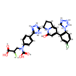 O=C(O)C(F)CN(C(=O)O)c1ccc(-c2nnc([C@@H]3CCc4cc(-c5cc(Cl)ccc5-n5cnnn5)cc(=O)n43)[nH]2)cc1